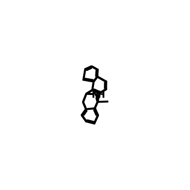 CC12NC(Cc3ccccc31)c1c2ccc2ccccc12